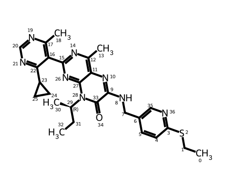 CCSc1ccc(CNc2nc3c(C)nc(-c4c(C)ncnc4C4CC4)nc3n([C@H](C)CC)c2=O)cn1